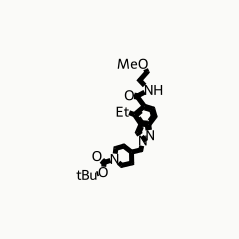 CCc1c(C(=O)NCCOC)ccc2nn(CC3CCN(C(=O)OC(C)(C)C)CC3)cc12